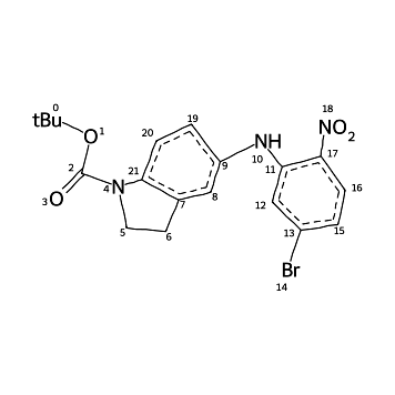 CC(C)(C)OC(=O)N1CCc2cc(Nc3cc(Br)ccc3[N+](=O)[O-])ccc21